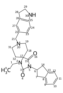 CCN1C(=O)N(C2Cc3ccccc3C2)C(=O)C12CCN(Cc1ccc3c(c1)CCN3)CC2